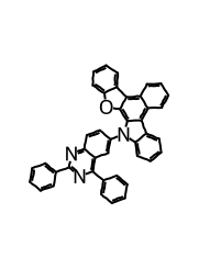 c1ccc(-c2nc(-c3ccccc3)c3cc(-n4c5ccccc5c5c6ccccc6c6c7ccccc7oc6c54)ccc3n2)cc1